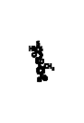 Cc1cc([N+](=O)[O-])ccc1-c1ccc(/C=C2/SC(=S)NC2=O)o1